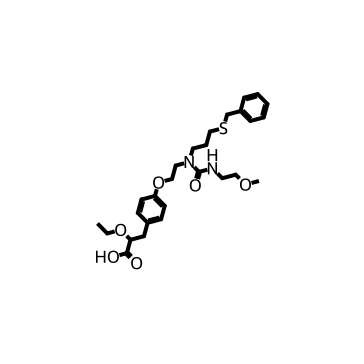 CCOC(Cc1ccc(OCCN(CCCSCc2ccccc2)C(=O)NCCOC)cc1)C(=O)O